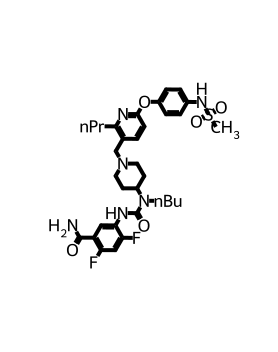 CCCCN(C(=O)Nc1cc(C(N)=O)c(F)cc1F)C1CCN(Cc2ccc(Oc3ccc(NS(C)(=O)=O)cc3)nc2CCC)CC1